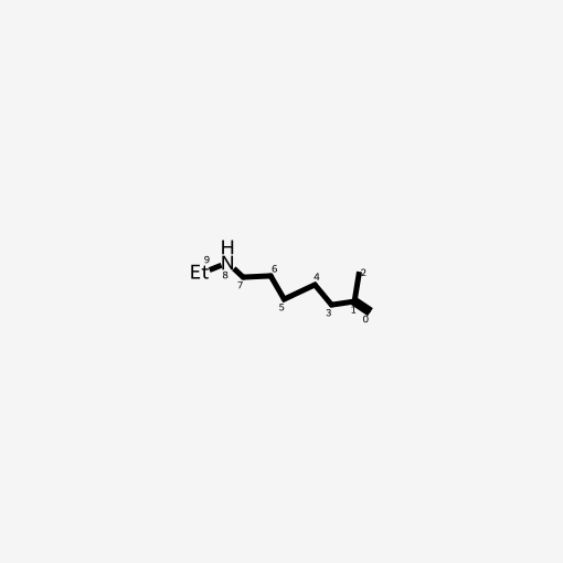 C=C(C)CCCCCNCC